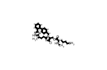 CCCCc1nc(Cl)c(COC(=O)[C@H](CCCCN)NC)n1Cc1ccc(-c2ccccc2-c2nn[nH]n2)cc1